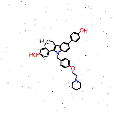 CCc1c(-c2ccc(O)cc2)n(Cc2ccc(OCCN3CCCCC3)cc2)c2ccc(-c3ccc(O)cc3)cc12